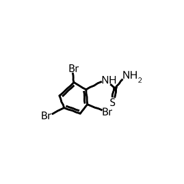 NC(=S)Nc1c(Br)cc(Br)cc1Br